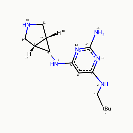 CC(C)(C)CNc1cc(N[C@@H]2[C@@H]3CNC[C@@H]32)nc(N)n1